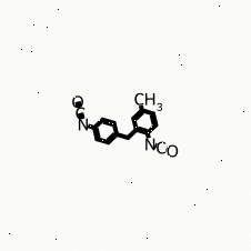 Cc1ccc(N=C=O)c(Cc2ccc(N=C=O)cc2)c1